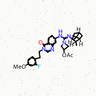 COc1ccc(CCn2cnc3cc(N/C(=N/[C@H]4C[C@@H]5C[C@H]([C@@H]4C)C5(C)C)N4CC(OC(C)=O)C4)ccc3c2=O)c(F)c1